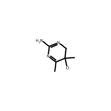 CC1=NC(N)=NCC1(C)Cl